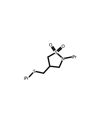 CC(C)SCC1CN(C(C)C)S(=O)(=O)C1